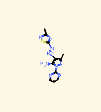 Cc1nsc(/N=N/c2c(C)nn(-c3ncccn3)c2N)n1